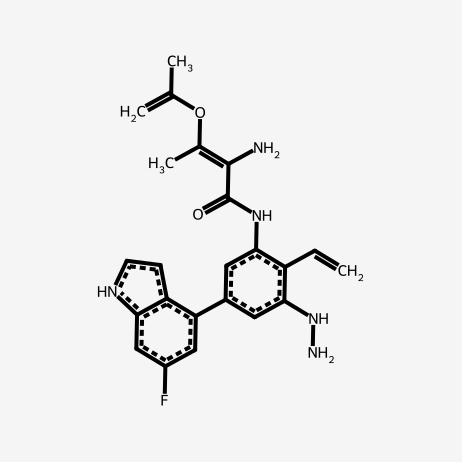 C=Cc1c(NN)cc(-c2cc(F)cc3[nH]ccc23)cc1NC(=O)/C(N)=C(\C)OC(=C)C